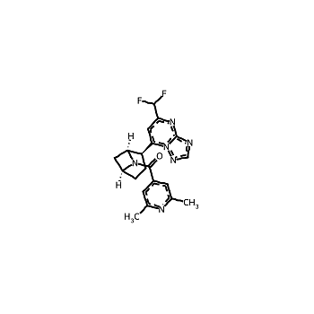 Cc1cc(C(=O)N2[C@H]3CC[C@H](c4cc(C(F)F)nc5ncnn45)[C@@H]2C3)cc(C)n1